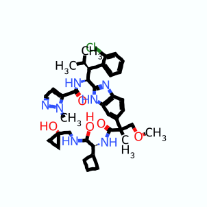 COCC(C)(C(=O)N[C@H](C1CCC1)C(O)NCC1(O)CC1)c1ccc2nc([C@@H](NC(=O)c3ccnn3C)[C@H](c3ccccc3Cl)C(C)C)[nH]c2c1